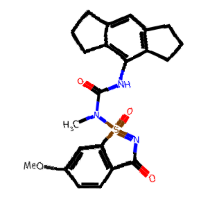 COc1ccc2c(c1)S(=O)(N(C)C(=O)Nc1c3c(cc4c1CCC4)CCC3)=NC2=O